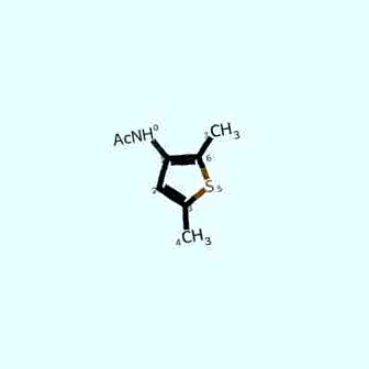 CC(=O)Nc1cc(C)sc1C